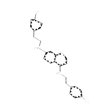 Clc1ccc(CCNc2ccc3c(NCCc4ccc(Cl)cc4)ccnc3c2)cc1